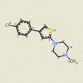 CN1CCN(c2cc(-c3ccc(Cl)cc3)cs2)CC1